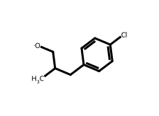 CC(C[O])Cc1ccc(Cl)cc1